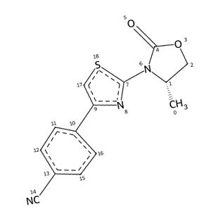 C[C@H]1COC(=O)N1c1nc(-c2ccc(C#N)cc2)cs1